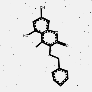 Cc1c(CCc2ccccc2)c(=O)oc2cc(O)cc(O)c12